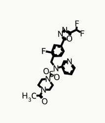 CC(=O)N1CCN(S(=O)(=O)N(Cc2ccc(-c3nnc(C(F)F)o3)cc2F)c2cccnc2)CC1